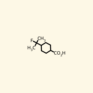 CC(C)(F)C1CCC(C(=O)O)CC1